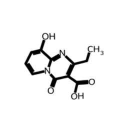 CCc1nc2c(O)cccn2c(=O)c1C(=O)O